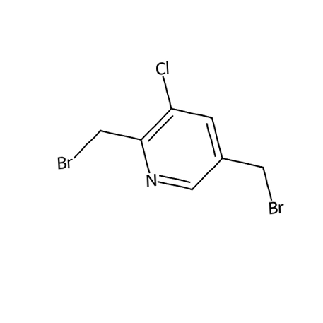 Clc1cc(CBr)cnc1CBr